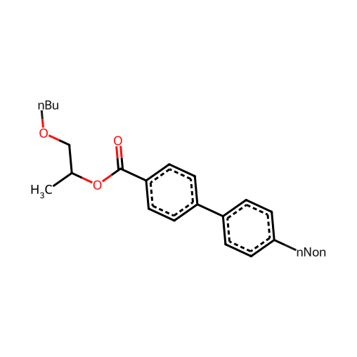 CCCCCCCCCc1ccc(-c2ccc(C(=O)OC(C)COCCCC)cc2)cc1